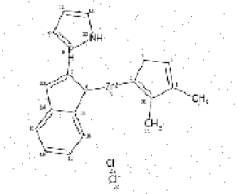 CC1=CC[C]([Zr+2][CH]2C([PH]3=CC=CN3)=Cc3ccccc32)=C1C.[Cl-].[Cl-]